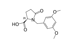 COc1cc(CN2C(=O)CC[C@@H]2C(=O)O)cc(OC)c1